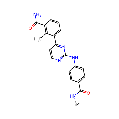 Cc1c(C(N)=O)cccc1-c1ccnc(Nc2ccc(C(=O)NC(C)C)cc2)n1